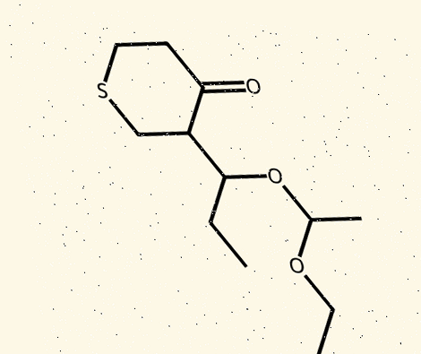 CCOC(C)OC(CC)C1CSCCC1=O